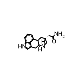 NC(=O)C[C@@H]1CN[C@@H]2Cc3c[nH]c4cccc(c34)C2C1